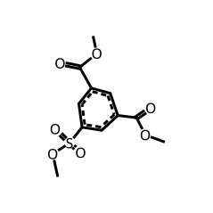 COC(=O)c1cc(C(=O)OC)cc(S(=O)(=O)OC)c1